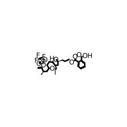 C=C(OS(=O)(=O)C(F)(F)F)[C@H](C)CC1CC[C@@H]2O[C@@H](CCCOC(=O)c3ccccc3C(=O)O)C[C@]2(CI)O1